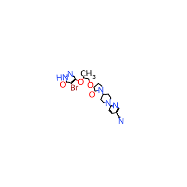 CC(COC1CCN(C2CCN(c3ccc(C#N)cn3)CC2)C1=O)Oc1cn[nH]c(=O)c1Br